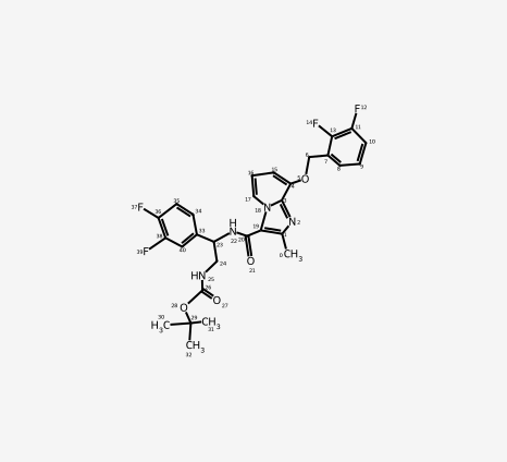 Cc1nc2c(OCc3cccc(F)c3F)cccn2c1C(=O)NC(CNC(=O)OC(C)(C)C)c1ccc(F)c(F)c1